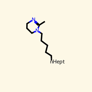 CCCCCCCCCCCCN1CCCN=C1C